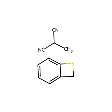 CC(C#N)C#N.c1ccc2c(c1)CS2